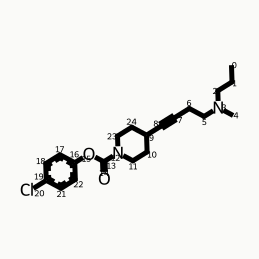 CCCN(C)CCC#CC1CCN(C(=O)Oc2ccc(Cl)cc2)CC1